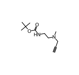 C#CCN(C)CCNC(=O)OC(C)(C)C